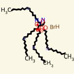 Br.CCCCCCCC/C=C\CCCCCCCC(=O)OC(CN)C(OC(=O)CCCCCCC/C=C\CCCCCCCC)(C(=O)CCCCCCC/C=C\CCCCCCCC)C(=O)CCCCCCC/C=C\CCCCCCCC